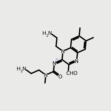 Cc1cc2nc(C=O)/c(=N\C(=O)N(C)CCN)n(CCN)c2cc1C